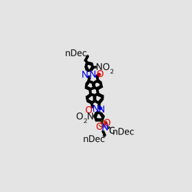 CCCCCCCCCCCCc1cc([N+](=O)[O-])c2c(c1)nc1c3ccc4c5ccc6c(=O)n7c(nc8cc(S(=O)(=O)N(CCCCCCCCCCCC)CCCCCCCCCCCC)cc([N+](=O)[O-])c87)c7ccc(c8ccc(c(=O)n12)c3c48)c5c67